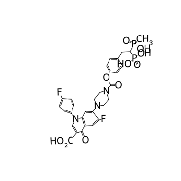 CP(=O)(O)C(Cc1ccc(OC(=O)N2CCN(c3cc4c(cc3F)c(=O)c(C(=O)O)cn4-c3ccc(F)cc3)CC2)cc1)P(=O)(O)O